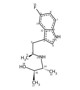 C[C@@H](Cc1c[nH]c2ccc(F)cc12)N[C@H](C)[C@@H](C)O